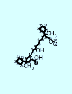 CC(CCCCCC(O)CCCCCC(C)(CCC(=O)O)c1ccccc1)(CCOC=O)c1ccccc1